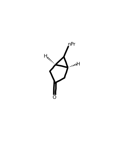 CCCC1[C@H]2CC(=O)C[C@@H]12